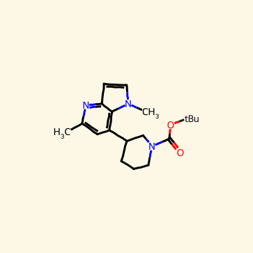 Cc1cc(C2CCCN(C(=O)OC(C)(C)C)C2)c2c(ccn2C)n1